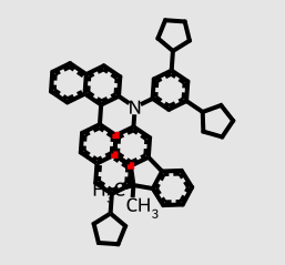 CC1(C)c2ccccc2-c2cc(N(c3cc(C4CCCC4)cc(C4CCCC4)c3)c3ccc4ccccc4c3-c3ccc4cc(C5CCCC5)ccc4c3)ccc21